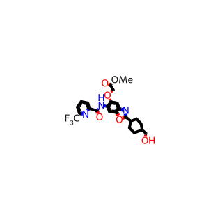 COC(=O)COc1cc2nc(C3CCC(CO)CC3)oc2cc1NC(=O)c1cccc(C(F)(F)F)n1